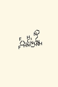 C[C@@H](Nc1ccc2[nH]nc(/C=C/c3ccccn3)c2n1)c1cc(F)cc(F)c1